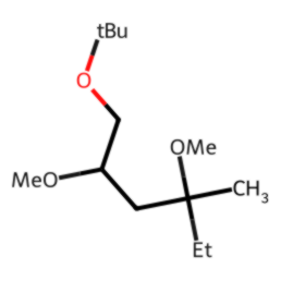 CCC(C)(CC(COC(C)(C)C)OC)OC